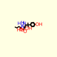 CCCC(=O)N[C@@](O)(C(=O)O)[C@H](N)C(C)(C)c1ccc(O)cc1